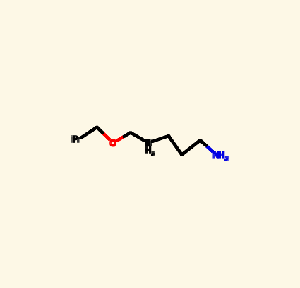 CC(C)COC[SiH2]CCCN